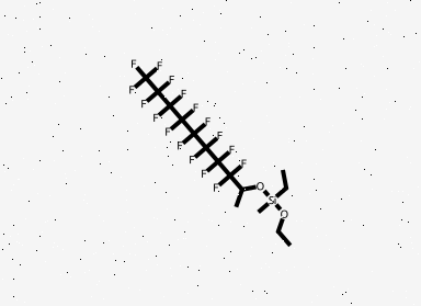 CCO[Si](C)(CC)OC(C)C(F)(F)C(F)(F)C(F)(F)C(F)(F)C(F)(F)C(F)(F)C(F)(F)C(F)(F)F